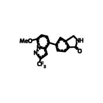 COc1ccc(-c2ccc3c(c2)CNC3=O)c2cc(C(F)(F)F)nn12